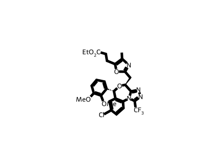 CCOC(=O)CCc1oc(C[C@@H]2O[C@@H](c3cccc(OC)c3OC)c3cc(Cl)ccc3-n3c2nnc3C(F)(F)F)nc1C